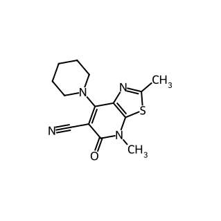 Cc1nc2c(N3CCCCC3)c(C#N)c(=O)n(C)c2s1